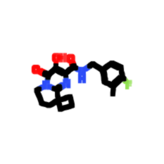 Cc1cc(CNC(=O)c2nc3n(c(=O)c2O)CCCC32CCC2)ccc1F